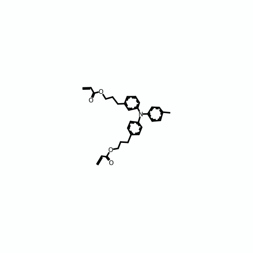 C=CC(=O)OCCCc1ccc(N(c2ccc(C)cc2)c2cccc(CCCOC(=O)C=C)c2)cc1